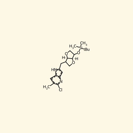 Cc1cc2[nH]c(CC3CO[C@@H]4C(O[Si](C)(C)C(C)(C)C)CO[C@H]34)cc2nc1Cl